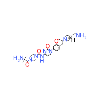 CC(C)(N)C(=O)N1CCN(C(=O)Nc2ccn(-c3ccc4c(c3)OCC(N3CC5C(CN)[C@H]5C3)C4)c(=O)n2)CC1